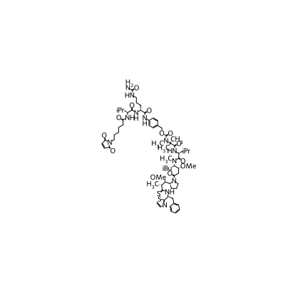 CC[C@H](C)[C@@H]([C@@H](CC(=O)N1CCC[C@H]1[C@H](OC)[C@@H](C)C(=S)N[C@@H](Cc1ccccc1)c1nccs1)OC)N(C)C(=O)[C@@H](NC(=O)C(C)(C)N(C)C(=O)OCc1ccc(NC(=O)[C@H](CCCNC(N)=O)NC(=O)[C@@H](NC(=O)CCCCCN2C(=O)C=CC2=O)C(C)C)cc1)C(C)C